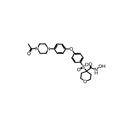 CC(=O)N1CCN(c2ccc(Oc3ccc(S(=O)(=O)C4(C(=O)NO)CCOCC4)cc3)cc2)CC1